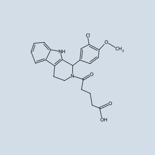 COc1ccc(C2c3[nH]c4ccccc4c3CCN2C(=O)CCCC(=O)O)cc1Cl